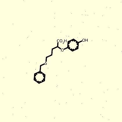 O=C(O)C(CCCSCc1ccccc1)Oc1ccc(O)cc1